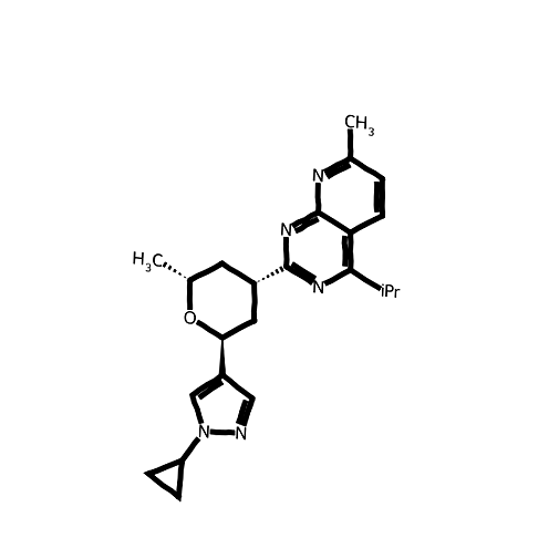 Cc1ccc2c(C(C)C)nc([C@H]3C[C@@H](C)O[C@H](c4cnn(C5CC5)c4)C3)nc2n1